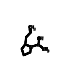 C=CCC1CCCN1B(C)O